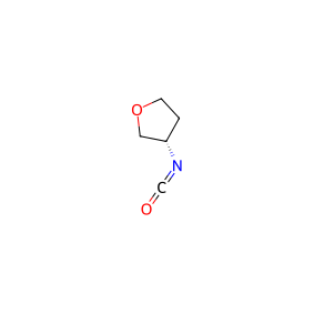 O=C=N[C@H]1CCOC1